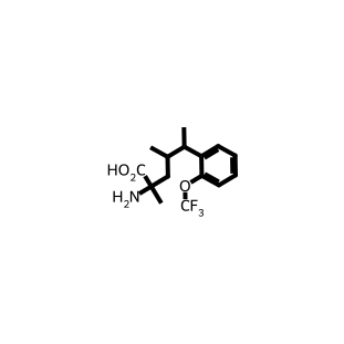 CC(CC(C)(N)C(=O)O)C(C)c1ccccc1OC(F)(F)F